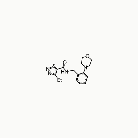 CCc1nnsc1C(=O)NCc1ccccc1N1CCOCC1